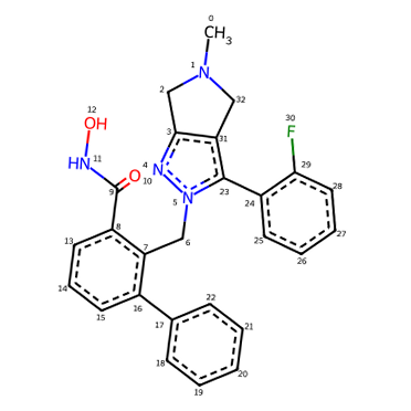 CN1Cc2nn(Cc3c(C(=O)NO)cccc3-c3ccccc3)c(-c3ccccc3F)c2C1